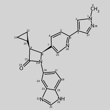 Cn1cc(-c2ccc([C@@H]3[C@H](C4CC4)C(=O)N3c3ccc4[nH]cnc4c3)cn2)cn1